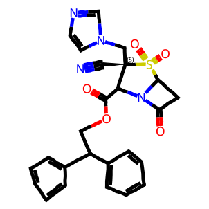 N#C[C@]1(Cn2ccnc2)C(C(=O)OCC(c2ccccc2)c2ccccc2)N2C(=O)CC2S1(=O)=O